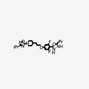 CC(C)C(=N)OC(=N)c1c(F)cc(OCCCC2CCN(c3nc(C(C)C)no3)CC2)cc1F